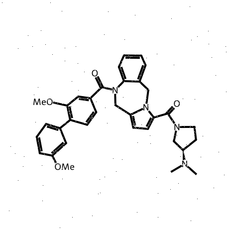 COc1cccc(-c2ccc(C(=O)N3Cc4ccc(C(=O)N5CC[C@@H](N(C)C)C5)n4Cc4ccccc43)cc2OC)c1